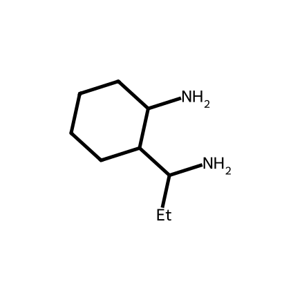 CCC(N)C1CCCCC1N